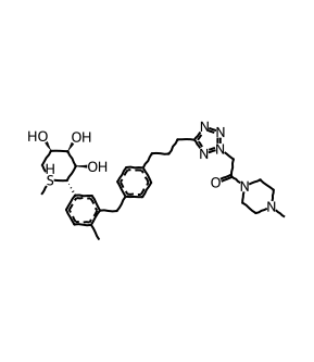 Cc1ccc([C@H]2[C@H](O)[C@H](O)[C@H](O)C[SH]2C)cc1Cc1ccc(CCCc2nnn(CC(=O)N3CCN(C)CC3)n2)cc1